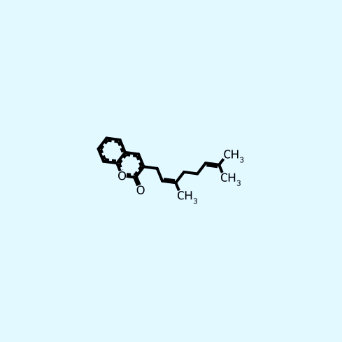 CC(C)=CCCC(C)=CCc1cc2ccccc2oc1=O